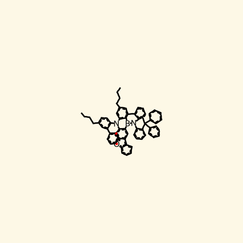 CCCCc1ccc(N2c3cc4oc5ccccc5c4cc3B3c4c(cc(CCCC)cc42)-c2cccc4c2N3c2ccccc2C4(c2ccccc2)c2ccccc2)c(-c2ccccc2)c1